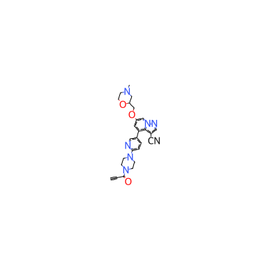 C#CC(=O)N1CCN(c2ccc(-c3cc(OCC4CN(C)CCO4)cn4ncc(C#N)c34)cn2)CC1